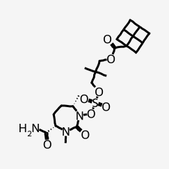 C[C@H]1CC[C@@H](C(N)=O)N(C)C(=O)N1OS(=O)(=O)OCC(C)(C)COC(=O)C12CC3CC4CC(C1)C432